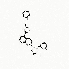 CC(C)(C)OC(=O)CN(c1ccc2c(-c3nc(COc4ccccc4)no3)cccc2c1)S(=O)(=O)c1cc(Cl)cc(Cl)c1